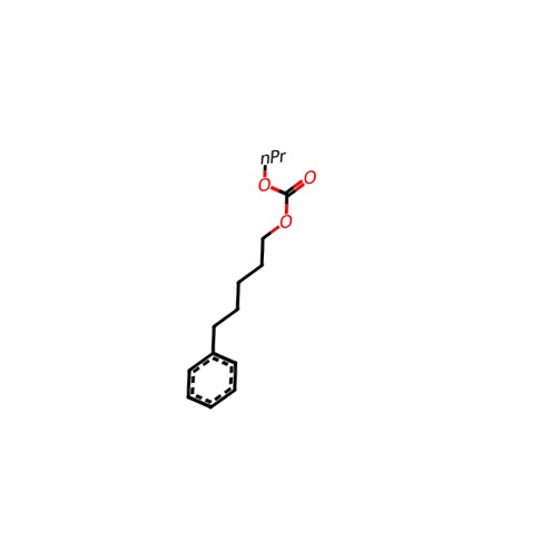 CCCOC(=O)OCCCCCc1ccccc1